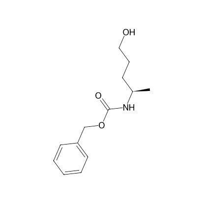 C[C@H](CCCO)NC(=O)OCc1ccccc1